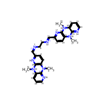 CN1c2ccc(/C=N\CC/N=C/c3ccc4c(n3)N(C)c3cccnc3N4C)nc2N(C)c2cccnc21